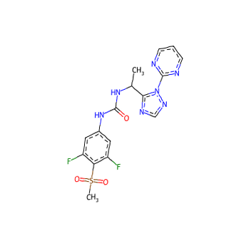 CC(NC(=O)Nc1cc(F)c(S(C)(=O)=O)c(F)c1)c1ncnn1-c1ncccn1